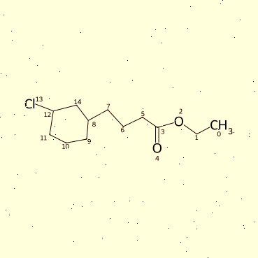 CCOC(=O)CCCC1CCCC(Cl)C1